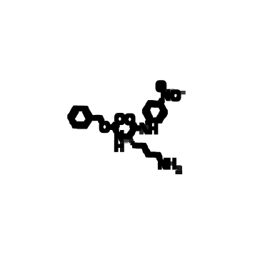 NCCCC[C@H](NC(=O)OCc1ccccc1)C(=O)Nc1ccc([N+](=O)[O-])cc1